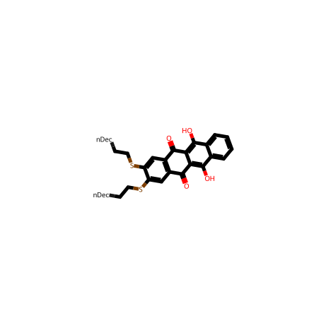 CCCCCCCCCCCCSc1cc2c(cc1SCCCCCCCCCCCC)C(=O)c1c(c(O)c3ccccc3c1O)C2=O